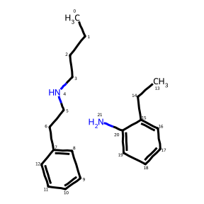 CCCCNCCc1ccccc1.CCc1ccccc1N